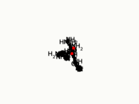 N=C(N)NCCCC(NC(=O)C(CCCCNC(=O)OCc1ccccc1)NC(=O)[C@@H](Cc1ccc(C(=N)N)cc1)c1cccnc1)C(N)=O